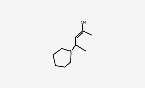 CC(C#N)=CC(C)N1CCCCC1